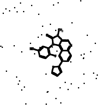 Cn1c(=O)n(-c2cc(C#N)ccc2F)c2c3cc(-c4cccs4)ccc3ncc21